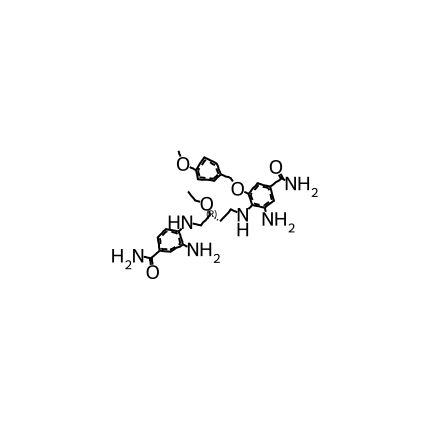 CCO[C@H](CCNc1c(N)cc(C(N)=O)cc1OCc1ccc(OC)cc1)CNc1ccc(C(N)=O)cc1N